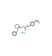 Cc1ccc(C=CC(=O)CCN2CCCCC2Cc2ccccc2)cc1.Cl